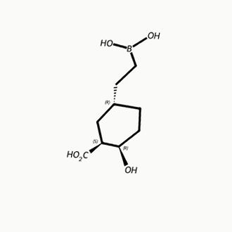 O=C(O)[C@H]1C[C@H](CCB(O)O)CC[C@H]1O